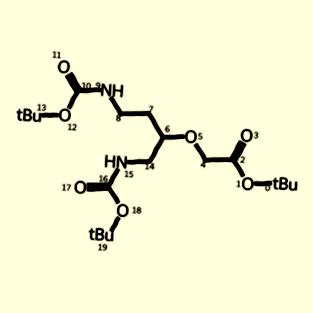 CC(C)(C)OC(=O)COC(CCNC(=O)OC(C)(C)C)CNC(=O)OC(C)(C)C